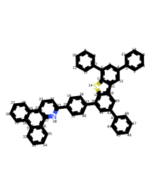 c1ccc(-c2cc(-c3ccccc3)c3sc4c(-c5ccc(-c6ccc7c8ccccc8c8ccccc8c7n6)cc5)cc(-c5ccccc5)cc4c3c2)cc1